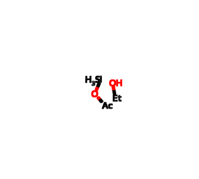 CC(=O)O[SiH3].CCO